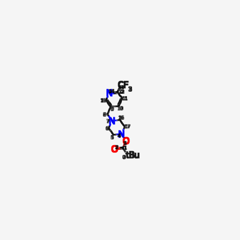 CC(C)(C)C(=O)ON1CCN(Cc2ccc(C(F)(F)F)nc2)CC1